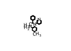 C=C(c1ccccc1)N(C1=C(N)CC(C)C=C1)c1cccnc1